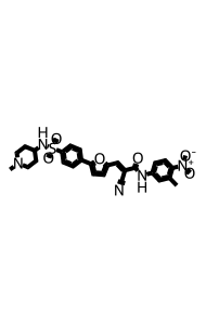 Cc1cc(NC(=O)/C(C#N)=C/c2ccc(-c3ccc(S(=O)(=O)NC4CCN(C)CC4)cc3)o2)ccc1[N+](=O)[O-]